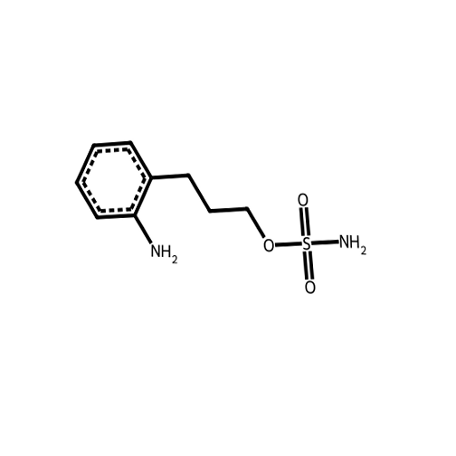 Nc1ccccc1CCCOS(N)(=O)=O